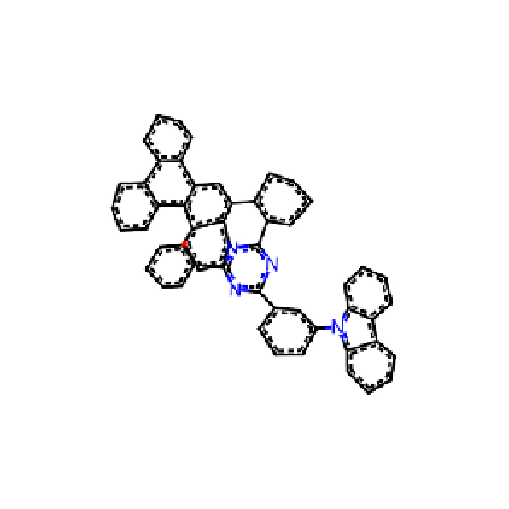 c1ccc(-c2nc(-c3cccc(-n4c5ccccc5c5ccccc54)c3)nc(-c3ccccc3-c3cc4c5ccccc5c5ccccc5c4c4ccccc34)n2)cc1